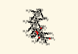 NCCCC[C@H](NC(=O)[C@H](CCCCN)NC(=O)[C@H](CCCCN)NC(=O)[C@H](CCCCN)NC(=O)[C@H](CCCCN)NC(=O)[C@H](CCCCN)NC(=O)[C@H](CCCCN)NC(=O)[C@H](CCCCN)NC(=O)[C@H](CCCCN)NC(=O)[C@H](CCCCN)NC(=O)[C@H](CCCCN)NC(=O)[C@H](CCCCN)NC(=O)[C@H](CCCCN)NC(=O)[C@H](CCCCN)NC(=O)[C@@H](N)CS)C(=O)O